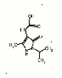 Cc1[nH]n(C(C)C)c(=O)c1NC(=O)O